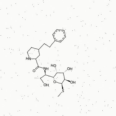 CS[C@H]1O[C@H]([C@H](NC(=O)C2CC(CCc3ccccc3)CCN2)[C@@H](C)O)[C@H](O)[C@H](O)[C@H]1O